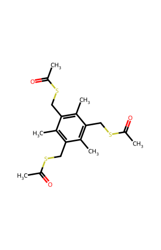 CC(=O)SCc1c(C)c(CSC(C)=O)c(C)c(CSC(C)=O)c1C